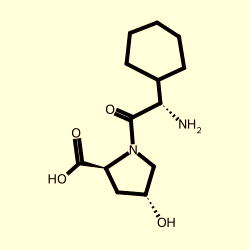 N[C@H](C(=O)N1C[C@H](O)C[C@H]1C(=O)O)C1CCCCC1